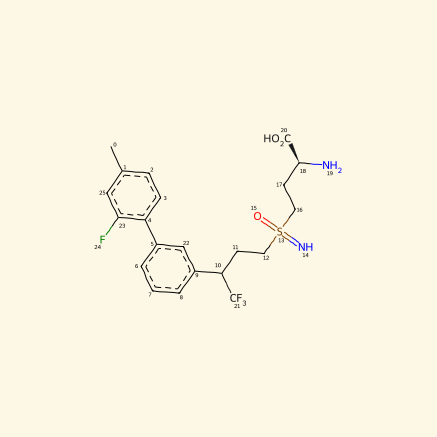 Cc1ccc(-c2cccc(C(CCS(=N)(=O)CC[C@H](N)C(=O)O)C(F)(F)F)c2)c(F)c1